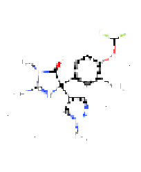 Cc1cc(C2(c3cnn(C)c3)N=C(N)N(C)C2=O)ccc1OC(F)F